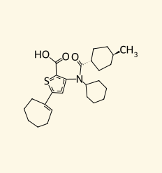 C[C@H]1CC[C@H](C(=O)N(c2cc(C3=CCCCCC3)sc2C(=O)O)C2CCCCC2)CC1